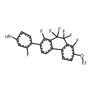 CCCc1ccc(-c2ccc3c(c2F)C(F)(F)C(F)(F)c2c-3ccc(OCC)c2F)c(F)c1